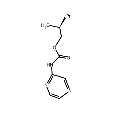 CC(C)[C@H](C)COC(=O)Nc1cnccn1